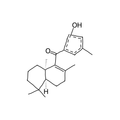 CC1=C(C(=O)c2cc(C)cc(O)c2)[C@]2(C)CCCC(C)(C)[C@@H]2CC1